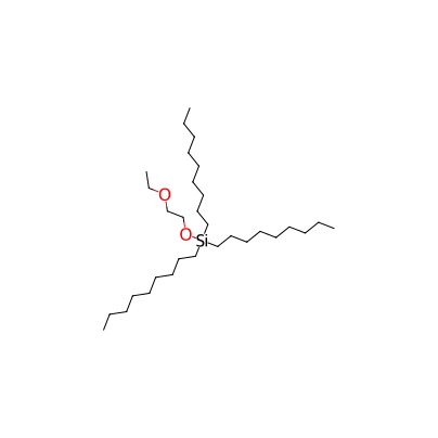 CCCCCCCCC[Si](CCCCCCCCC)(CCCCCCCCC)OCCOCC